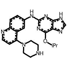 CC(C)Oc1nc(Nc2ccc3nccc(N4CCNCC4)c3c2)nc2[nH]cnc12